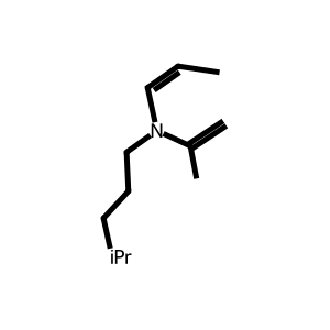 C=C(C)N(/C=C\C)CCCC(C)C